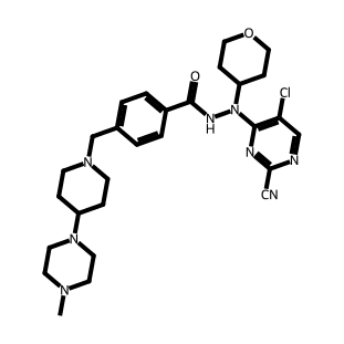 CN1CCN(C2CCN(Cc3ccc(C(=O)NN(c4nc(C#N)ncc4Cl)C4CCOCC4)cc3)CC2)CC1